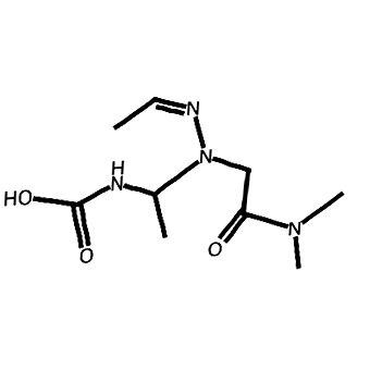 C/C=N\N(CC(=O)N(C)C)C(C)NC(=O)O